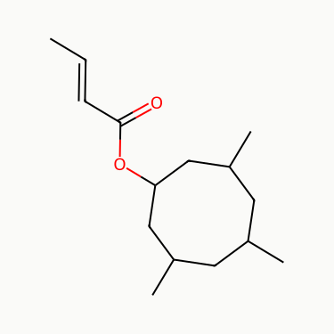 C/C=C/C(=O)OC1CC(C)CC(C)CC(C)C1